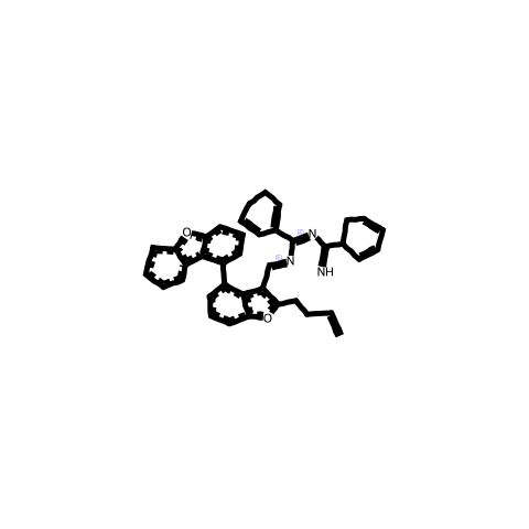 C=CCCc1oc2cccc(-c3cccc4oc5ccccc5c34)c2c1/C=N/C(=N\C(=N)C1C=CC=CC1)C1=CCCC=C1